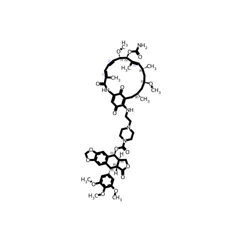 COc1cc([C@@H]2c3cc4c(cc3[C@@H](OC(=O)N3CCN(CCNC5=C6C[C@@H](C)C[C@H](OC)C[C@@H](C)/C=C(\C)[C@H](OC(N)=O)[C@@H](OC)/C=C\C=C(/C)C(=O)NC(=CC5=O)C6=O)CC3)[C@H]3COC(=O)[C@H]23)OCO4)cc(OC)c1OC